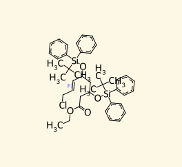 CCOC(=O)CC(CC(/C=C/CCl)O[Si](c1ccccc1)(c1ccccc1)C(C)(C)C)O[Si](c1ccccc1)(c1ccccc1)C(C)(C)C